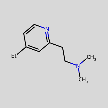 CCc1ccnc(CCN(C)C)c1